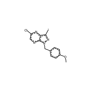 COc1ccc(Cn2nc(I)c3nc(Cl)cnc32)cc1